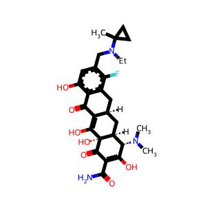 CCN(Cc1cc(O)c2c(c1F)C[C@H]1C[C@H]3[C@H](N(C)C)C(O)=C(C(N)=O)C(=O)[C@@]3(O)C(O)=C1C2=O)C1(C)CC1